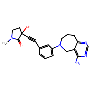 CN1CCC(O)(C#Cc2cccc(N3CCCc4ncnc(N)c4C3)c2)C1=O